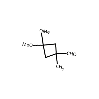 COC1(OC)CC(C)(C=O)C1